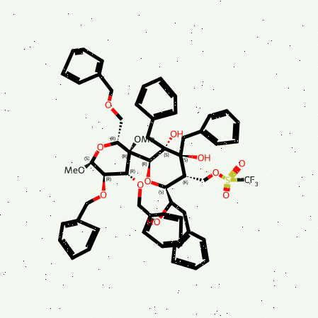 CO[C@H]1O[C@H](COCc2ccccc2)[C@](OC)([C@@H]2O[C@H](C(O)Cc3ccccc3)[C@@H](COS(=O)(=O)C(F)(F)F)[C@@](O)(Cc3ccccc3)[C@]2(O)Cc2ccccc2)[C@H](OCc2ccccc2)[C@H]1OCc1ccccc1